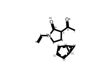 C=CN1CCC(C(C)=O)C1=O.c1cc2cc-2c1